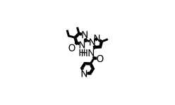 CCc1c(C)nc(-n2nc(C)cc2NC(=O)c2ccncc2)[nH]c1=O